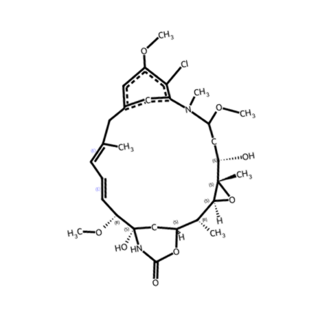 COc1cc2cc(c1Cl)N(C)C(OC)C[C@H](O)[C@]1(C)O[C@H]1[C@H](C)[C@@H]1C[C@@](O)(NC(=O)O1)[C@H](OC)/C=C/C=C(\C)C2